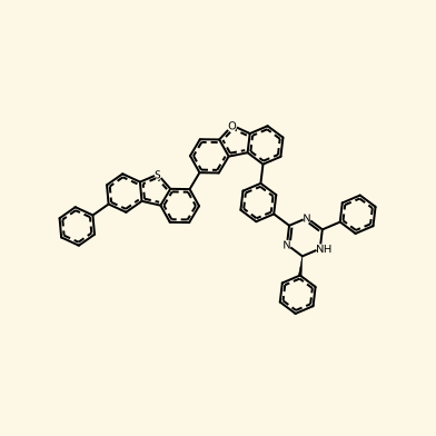 c1ccc(C2=NC(c3cccc(-c4cccc5oc6ccc(-c7cccc8c7sc7ccc(-c9ccccc9)cc78)cc6c45)c3)=N[C@H](c3ccccc3)N2)cc1